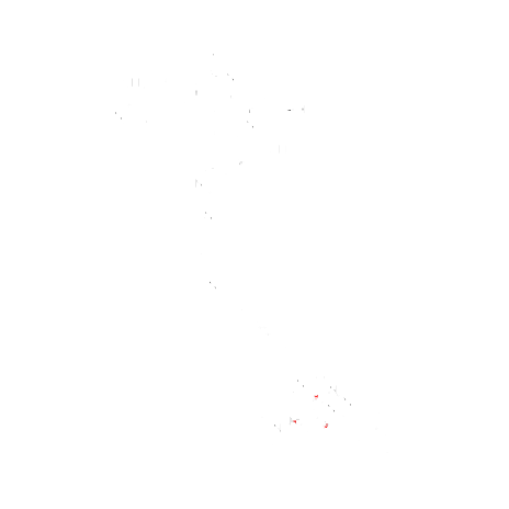 Cc1ncsc1-c1ccc([C@H](C)NC(=O)[C@@H]2C[C@@H](O)CN2C(=O)[C@@H](c2cc(N3CCC(CN4CCC(C#CC5CC(Oc6cc(N7C8CCC7CN(c7cc(-c9ccccc9O)nnc7N)C8)ccn6)C5)CC4)CC3)no2)C(C)C)cc1